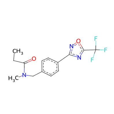 CCC(=O)N(C)Cc1ccc(-c2noc(C(F)(F)F)n2)cc1